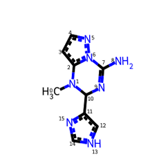 CN1c2ccnn2C(N)=NC1c1c[nH]cn1